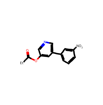 CCC(=O)Oc1cncc(-c2cccc([N+](=O)[O-])c2)c1